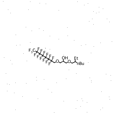 CCCCC(CC)COCC(O)COCC(F)(F)C(F)(F)C(F)(F)C(F)(F)C(F)(F)C(F)(F)C(F)(F)F